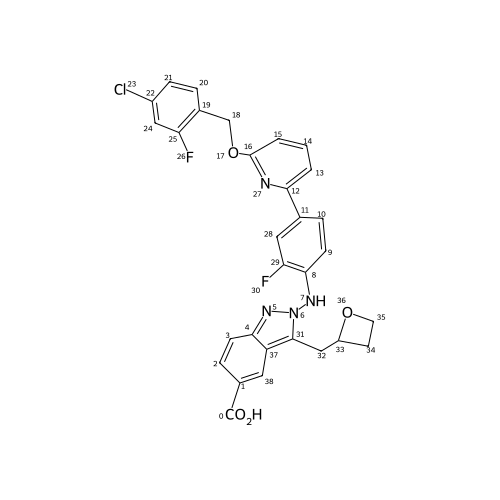 O=C(O)c1ccc2nn(Nc3ccc(-c4cccc(OCc5ccc(Cl)cc5F)n4)cc3F)c(CC3CCO3)c2c1